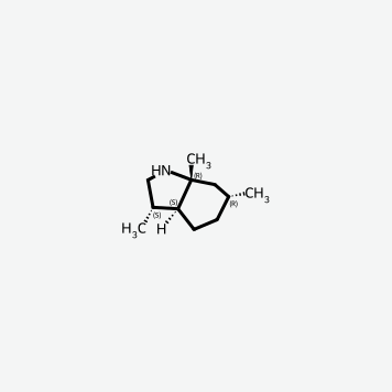 C[C@@H]1CC[C@H]2[C@H](C)CN[C@]2(C)C1